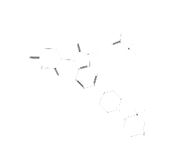 Cn1c(=O)n(C2CCC(=O)NC2=O)c2ccc(N3CCN([C@H]4CCNCC4(F)F)CC3)cc21.O=C(O)C(F)(F)F